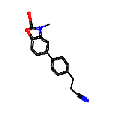 Cn1c(=O)oc2ccc(-c3ccc(CCC#N)cc3)cc21